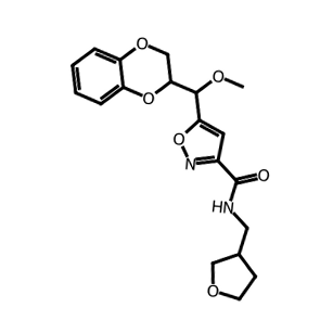 COC(c1cc(C(=O)NCC2CCOC2)no1)C1COc2ccccc2O1